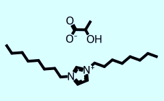 CC(O)C(=O)[O-].CCCCCCCCn1cc[n+](CCCCCCCC)c1